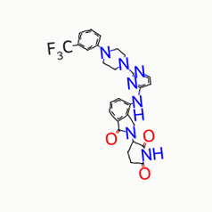 O=C1CCC(N2Cc3c(Nc4ccnc(N5CCN(c6cccc(C(F)(F)F)c6)CC5)n4)cccc3C2=O)C(=O)N1